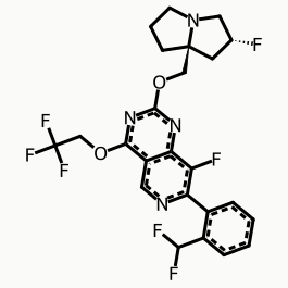 Fc1c(-c2ccccc2C(F)F)ncc2c(OCC(F)(F)F)nc(OC[C@@]34CCCN3C[C@H](F)C4)nc12